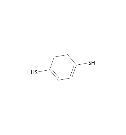 SC1=CC=C(S)CC1